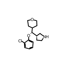 Clc1ccccc1O[C@H](C1CCOCC1)[C@@H]1CCNC1